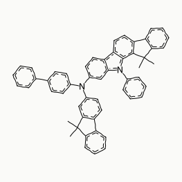 CC1(C)c2ccccc2-c2ccc(N(c3ccc(-c4ccccc4)cc3)c3ccc4c5ccc6c(c5n(-c5ccccc5)c4c3)C(C)(C)c3ccccc3-6)cc21